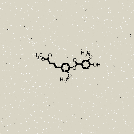 COC(=O)C/C=C/c1ccc(OC(=O)c2ccc(O)c(OC)c2)c(OC)c1